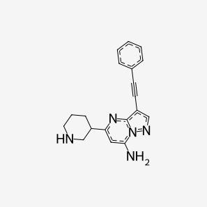 Nc1cc(C2CCCNC2)nc2c(C#Cc3ccccc3)cnn12